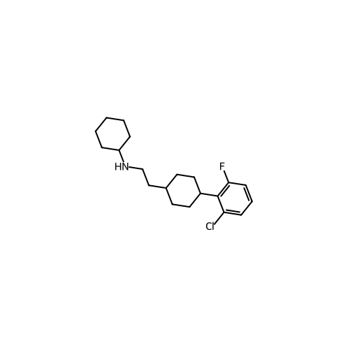 Fc1cccc(Cl)c1C1CCC(CCNC2CCCCC2)CC1